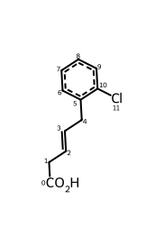 O=C(O)CC=CCc1ccccc1Cl